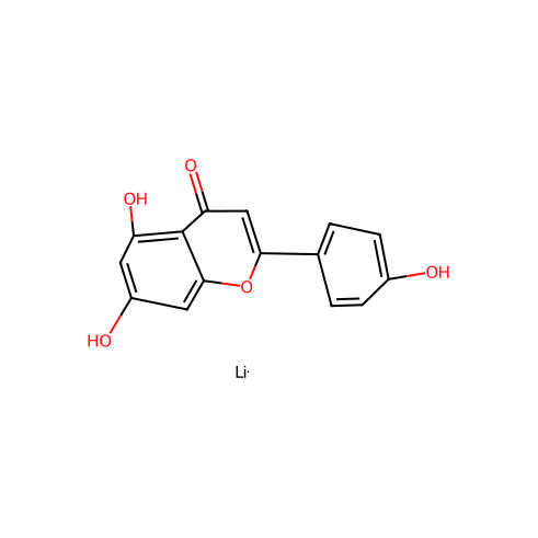 O=c1cc(-c2ccc(O)cc2)oc2cc(O)cc(O)c12.[Li]